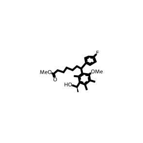 COC(=O)CCCCCC(c1ccc(F)cc1)c1c(C)c([C@@H](C)O)c(C)c(C)c1OC